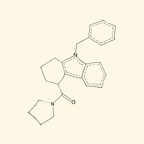 O=C(C1CCCc2c1c1ccccc1n2Cc1ccccc1)N1CCCC1